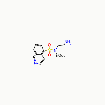 CCCCCCCCN(CCN)S(=O)(=O)c1cccc2cnccc12